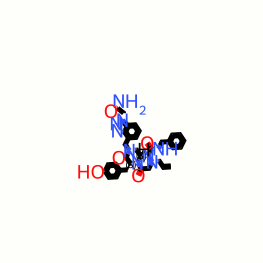 C=CCN1CC(=O)N2[C@@H](Cc3ccc(O)cc3)C(=O)N(Cc3cccc4c3nnn4CC(N)=O)C[C@@H]2N1C(=O)NCc1ccccc1